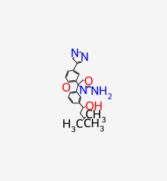 CC(C)(C)C[C@H](O)c1ccc2c(c1)C1(COC(N)=N1)c1cc(-c3cncnc3)ccc1O2